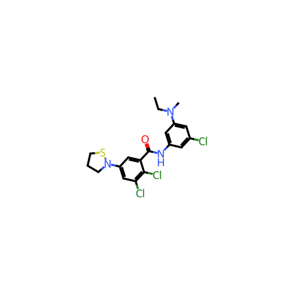 CCN(C)c1cc(Cl)cc(NC(=O)c2cc(N3CCCS3)cc(Cl)c2Cl)c1